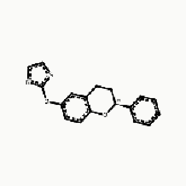 [c]1cnc(Oc2ccc3c(c2)CC[C@@H](c2ccccc2)O3)s1